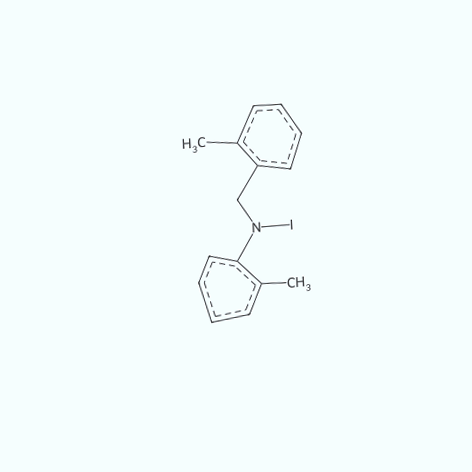 Cc1ccccc1CN(I)c1ccccc1C